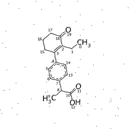 CCC1=C(c2ccc(C(C)C(=O)O)cc2)CCCC1=O